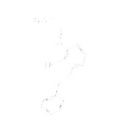 CCOC(=O)COc1ccc(F)c(OCc2ccccc2)c1C=O